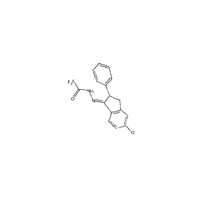 O=C(NN=C1c2ccc(Cl)cc2CC1c1ccccc1)C(F)(F)F